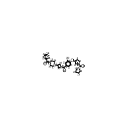 O=C(c1ccc(OC2CCN(C(=O)N3CCCC3)C2)c(I)c1)N1CC(N2CCN(C(=O)c3nccs3)CC2)C1